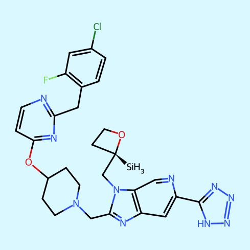 Fc1cc(Cl)ccc1Cc1nccc(OC2CCN(Cc3nc4cc(-c5nnn[nH]5)ncc4n3C[C@]3([SiH3])CCO3)CC2)n1